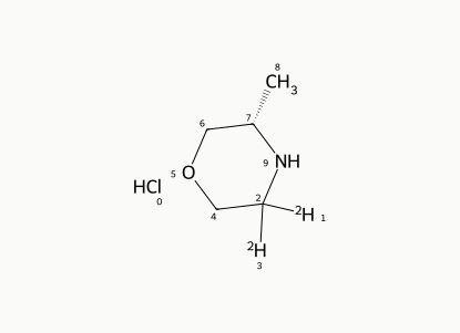 Cl.[2H]C1([2H])COC[C@H](C)N1